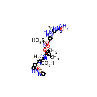 Cc1c(-c2ccc(-c3ccc4cccc(C(=O)Nc5nc6ccccc6s5)c4c3)nc2C(=O)O)cnn1CC12CC3(C)CC(C)(C1)CC(OCCN(CCS(=O)(=O)O)C(=O)OCc1ccc(NC[C@H](CCCNC(N)=O)C(N)[C@@H](N)C(C)C)cc1)(C3)C2